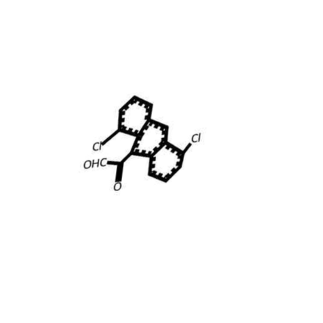 O=CC(=O)c1c2cccc(Cl)c2cc2cccc(Cl)c12